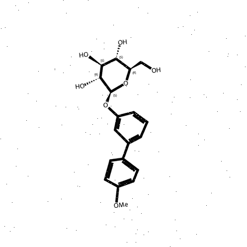 COc1ccc(-c2cccc(O[C@@H]3O[C@H](CO)[C@@H](O)[C@H](O)[C@H]3O)c2)cc1